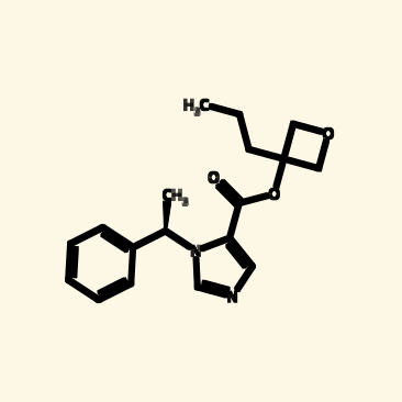 CCCC1(OC(=O)c2cncn2[C@H](C)c2ccccc2)COC1